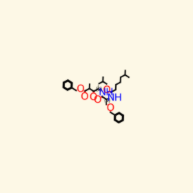 CC(C)CCCCC(=O)N[C@@H](COCc1ccccc1)C(=O)N[C@@H](CC(C)C)C(=O)C(C)C(=O)OCc1ccccc1